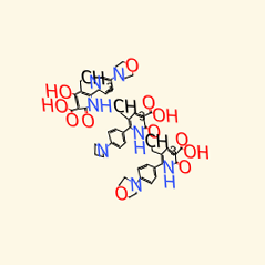 CCc1c(-c2ccc(N3CCOCC3)cn2)[nH]c(=O)c(C(=O)O)c1O.CCc1cc(C(=O)O)c(=O)[nH]c1-c1ccc(N2CCC2)cc1.CCc1cc(C(=O)O)c(=O)[nH]c1-c1ccc(N2CCOCC2)cc1